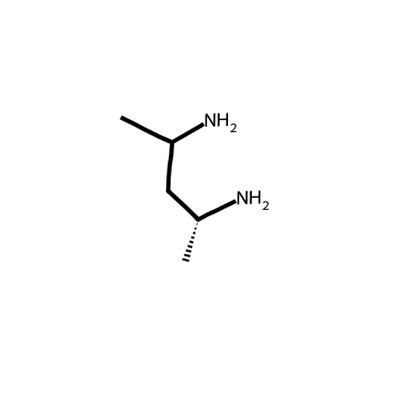 CC(N)C[C@@H](C)N